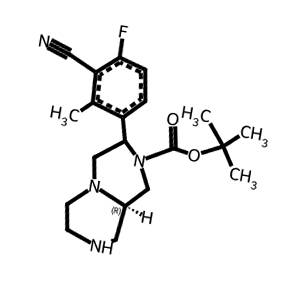 Cc1c(C2CN3CCNC[C@@H]3CN2C(=O)OC(C)(C)C)ccc(F)c1C#N